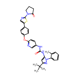 Cc1ccccc1-n1nc(C(C)(C)C)cc1NC(=O)Nc1ccc(Oc2ccc(-c3cnc(N4CCCC4=O)s3)cc2)nc1